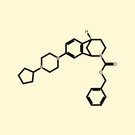 O=C(OCc1ccccc1)N1CC[C@@H]2CC1c1cc(N3CCN(C4CCCC4)CC3)ccc12